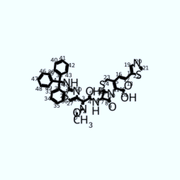 CON=C(C(=O)NC1C(=O)N2C(C(=O)O)=C(C=Cc3cncs3)CS[C@@H]12)c1csc(NC(c2ccccc2)(c2ccccc2)c2ccccc2)n1